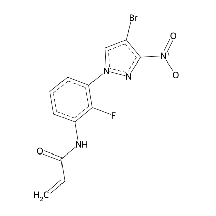 C=CC(=O)Nc1cccc(-n2cc(Br)c([N+](=O)[O-])n2)c1F